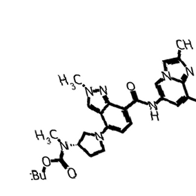 Cc1cn2cc(NC(=O)c3ccc(N4CC[C@H](N(C)C(=O)OC(C)(C)C)C4)c4cn(C)nc34)cc(F)c2n1